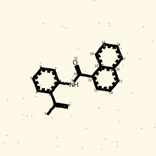 C=C(C)c1ccccc1NC(=O)c1cccc2ccccc12